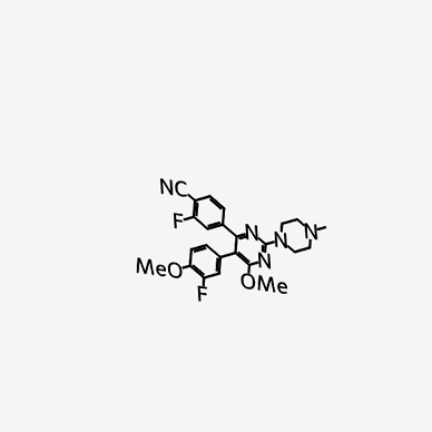 COc1ccc(-c2c(OC)nc(N3CCN(C)CC3)nc2-c2ccc(C#N)c(F)c2)cc1F